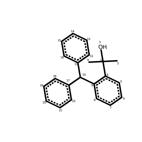 CC(C)(O)c1ccccc1C(c1ccccc1)c1ccccc1